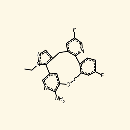 CCn1ncc2c1-c1cnc(N)c(c1)OCc1cc(F)ccc1-c1ncc(F)cc1C2